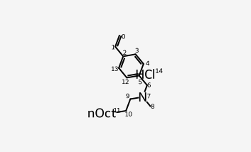 C=Cc1ccc(CN(C)CCCCCCCCCC)cc1.Cl